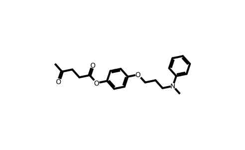 CC(=O)CCC(=O)Oc1ccc(OCCCN(C)c2ccccc2)cc1